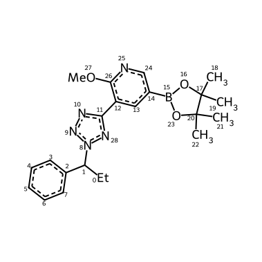 CCC(c1ccccc1)n1nnc(-c2cc(B3OC(C)(C)C(C)(C)O3)cnc2OC)n1